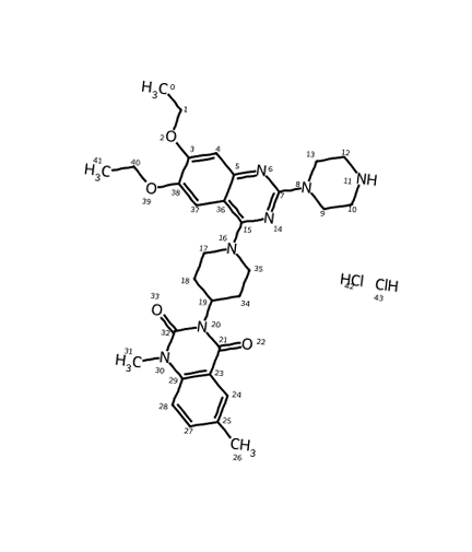 CCOc1cc2nc(N3CCNCC3)nc(N3CCC(n4c(=O)c5cc(C)ccc5n(C)c4=O)CC3)c2cc1OCC.Cl.Cl